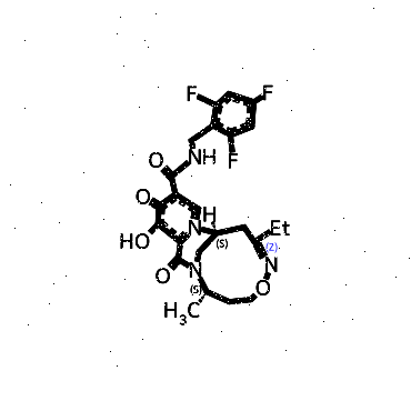 CC/C1=N/OCC[C@H](C)N2C[C@H](C1)n1cc(C(=O)NCc3c(F)cc(F)cc3F)c(=O)c(O)c1C2=O